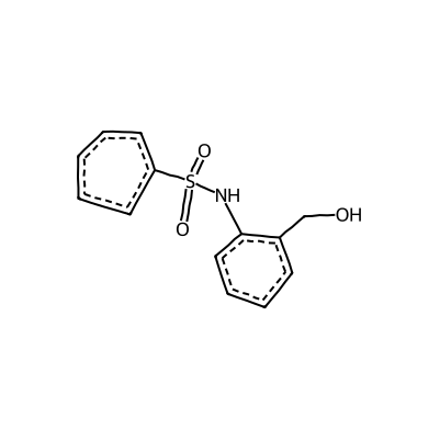 O=S(=O)(Nc1ccccc1CO)c1ccccc1